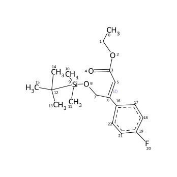 CCOC(=O)/C=C(\CO[Si](C)(C)C(C)(C)C)c1ccc(F)cc1